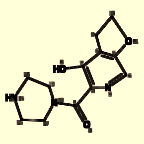 O=C(c1ncc2c(c1O)CCO2)N1CCNCC1